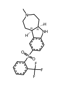 CN1CC[C@@H]2c3cc(S(=O)(=O)c4ccccc4C(F)(F)F)ccc3N[C@@H]2CC1